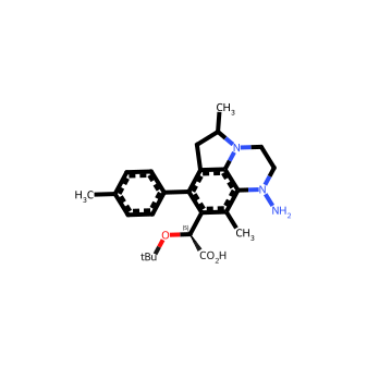 Cc1ccc(-c2c3c4c(c(C)c2[C@H](OC(C)(C)C)C(=O)O)N(N)CCN4C(C)C3)cc1